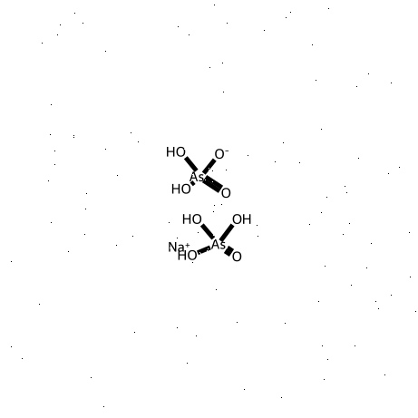 O=[As](O)(O)O.O=[As]([O-])(O)O.[Na+]